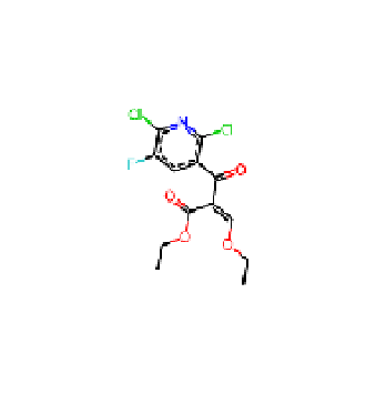 CCO/C=C(\C(=O)OCC)C(=O)c1cc(F)c(Cl)nc1Cl